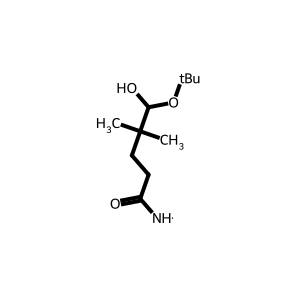 CC(C)(C)OC(O)C(C)(C)CCC([NH])=O